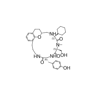 CN1C(=O)[C@H](C2CCCCC2)NCC2CCc3cccc(c3O2)CCCNC(=O)[C@@H](Cc2ccc(O)cc2)NC(=O)[C@@H]1CO